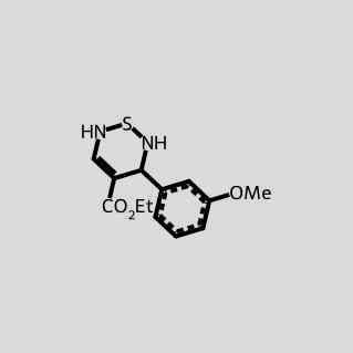 CCOC(=O)C1=CNSNC1c1cccc(OC)c1